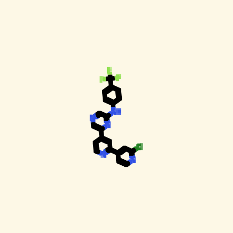 FC(F)(F)c1ccc(Nc2cncc(-c3ccnc(-c4ccnc(Cl)c4)c3)n2)cc1